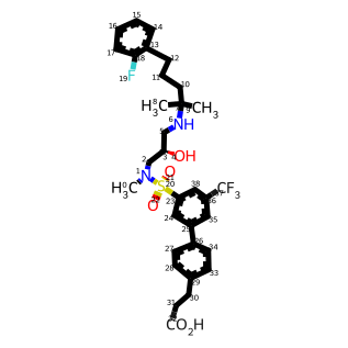 CN(C[C@H](O)CNC(C)(C)CCCc1ccccc1F)S(=O)(=O)c1cc(-c2ccc(CCC(=O)O)cc2)cc(C(F)(F)F)c1